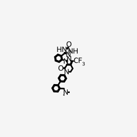 CN(C)Cc1ccccc1-c1ccc(N2CCc3c(C(F)(F)F)nn(-c4ccccc4-c4n[nH]c(=O)[nH]4)c3C2=O)cc1